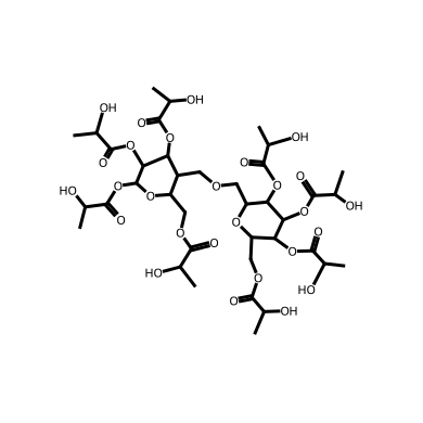 CC(O)C(=O)OCC1OC(OC(=O)C(C)O)C(OC(=O)C(C)O)C(OC(=O)C(C)O)C1COCC1OC(COC(=O)C(C)O)C(OC(=O)C(C)O)C(OC(=O)C(C)O)C1OC(=O)C(C)O